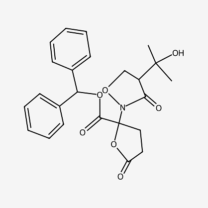 CC(C)(O)C1CON(C2(C(=O)OC(c3ccccc3)c3ccccc3)CCC(=O)O2)C1=O